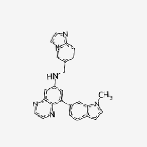 Cn1ccc2ccc(-c3cc(NCc4ccc5nccn5c4)cc4nccnc34)cc21